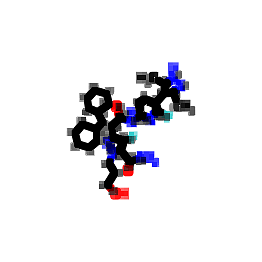 Cc1n[nH]c(C)c1-c1ccc(NC(=O)[C@H](c2nn(CCCO)c(C(N)=O)c2F)C(C2CCCCC2)C2CCCCC2)nc1F